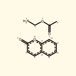 CC(=O)OCN.O=c1ccc2ccccc2o1